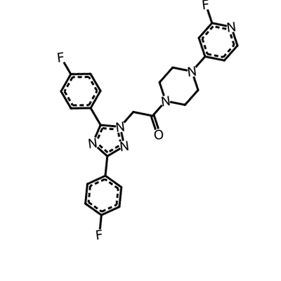 O=C(Cn1nc(-c2ccc(F)cc2)nc1-c1ccc(F)cc1)N1CCN(c2ccnc(F)c2)CC1